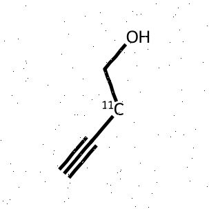 C#C[11CH2]CO